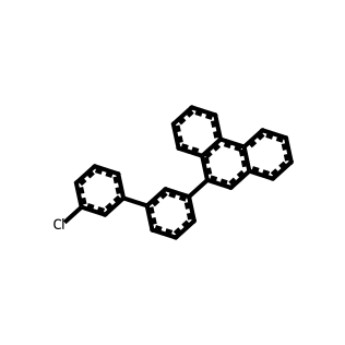 Clc1cccc(-c2cccc(-c3cc4ccccc4c4ccccc34)c2)c1